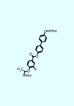 CCCCCCOc1ccc(-c2ccc(OC(=O)c3ccc(OC(C)CCCCCC)c(F)c3)cc2)cc1